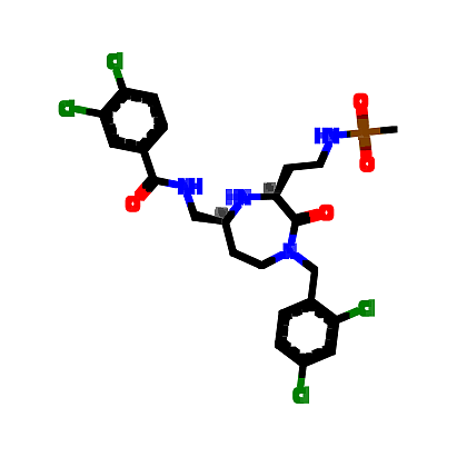 CS(=O)(=O)NCC[C@@H]1N[C@H](CNC(=O)c2ccc(Cl)c(Cl)c2)CCN(Cc2ccc(Cl)cc2Cl)C1=O